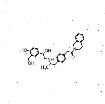 C[C@H](Cc1ccc(CC(=O)N2CCc3ccccc3C2)cc1)NC[C@H](O)c1ccc(O)c(CO)c1